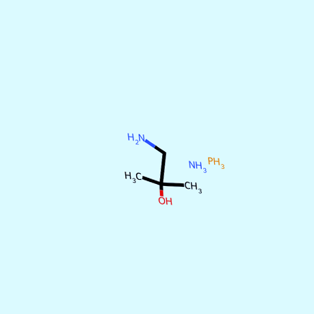 CC(C)(O)CN.N.P